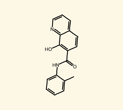 Cc1ccccc1NC(=O)c1ccc2cccnc2c1O